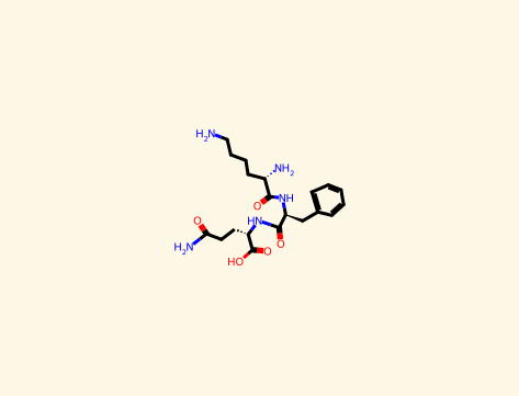 NCCCC[C@H](N)C(=O)N[C@@H](Cc1ccccc1)C(=O)N[C@@H](CCC(N)=O)C(=O)O